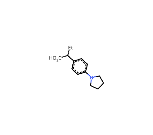 CCC(C(=O)O)c1ccc(N2CCCC2)cc1